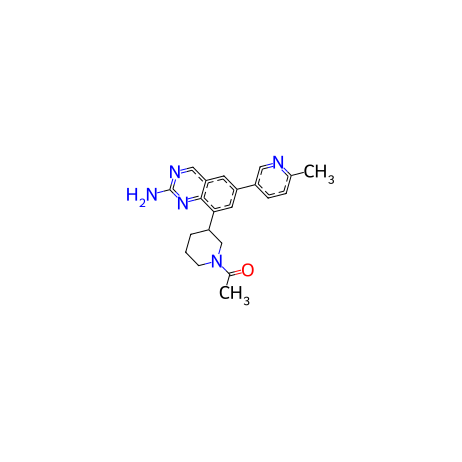 CC(=O)N1CCCC(c2cc(-c3ccc(C)nc3)cc3cnc(N)nc23)C1